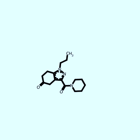 CCCn1nc(C(=O)N2CCCCC2)c2c1CCC(=O)C2